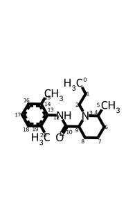 CCCN1C(C)CCCC1C(=O)Nc1c(C)cccc1C